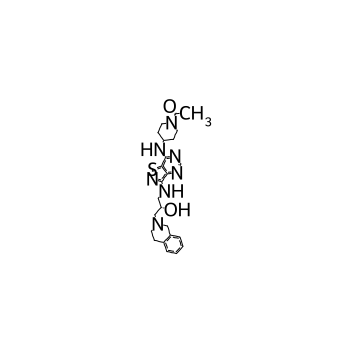 CC(=O)N1CCC(Nc2ncnc3c(NC[C@H](O)CN4CCc5ccccc5C4)nsc23)CC1